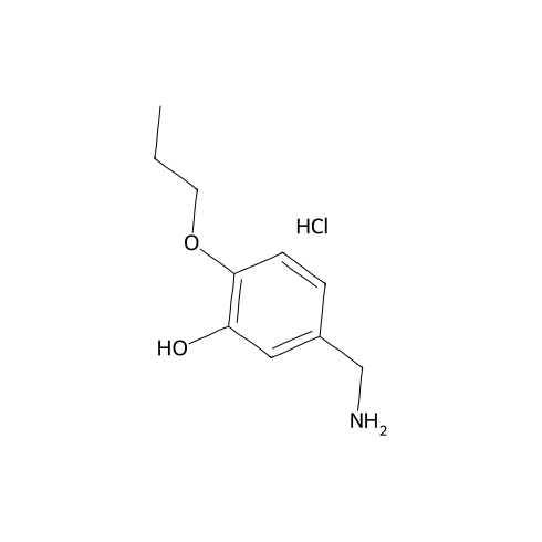 CCCOc1ccc(CN)cc1O.Cl